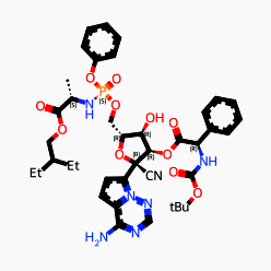 CCC(CC)COC(=O)[C@H](C)N[P@](=O)(OC[C@H]1O[C@@](C#N)(c2ccc3c(N)ncnn23)[C@H](OC(=O)[C@H](NC(=O)OC(C)(C)C)c2ccccc2)[C@@H]1O)Oc1ccccc1